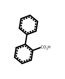 O=C(O)c1ccc[c]c1-c1ccccc1